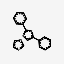 c1ccc(-c2cnc(-c3ccccc3)o2)cc1.c1cocn1